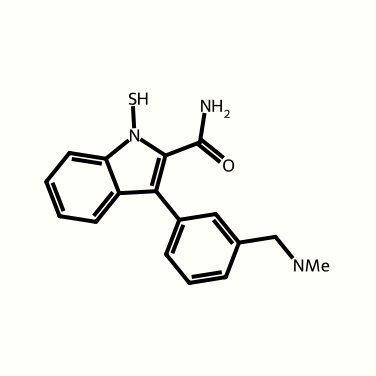 CNCc1cccc(-c2c(C(N)=O)n(S)c3ccccc23)c1